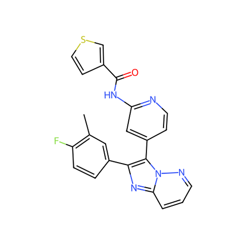 Cc1cc(-c2nc3cccnn3c2-c2ccnc(NC(=O)c3ccsc3)c2)ccc1F